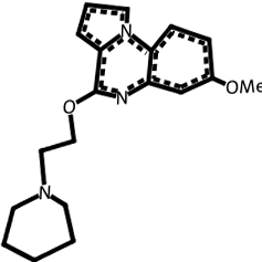 COc1ccc2c(c1)nc(OCCN1CCCCC1)c1cccn12